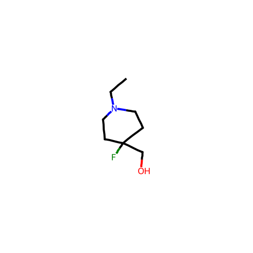 CCN1CCC(F)(CO)CC1